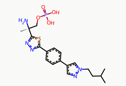 CC(C)CCn1cc(-c2ccc(-c3nnc([C@@](C)(N)COP(=O)(O)O)s3)cc2)cn1